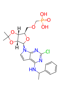 CC(Nc1nc(Cl)nc2c1ccn2[C@@H]1O[C@H](COCP(=O)(O)O)[C@H]2OC(C)(C)O[C@H]21)c1ccccc1